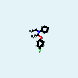 CCN(c1ccccc1)C(C)Oc1ccc(Cl)cc1